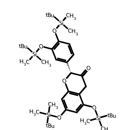 CC(C)(C)[Si](C)(C)Oc1cc2c(c(O[Si](C)(C)C(C)(C)C)c1)CC(=O)[C@@H](c1ccc(O[Si](C)(C)C(C)(C)C)c(O[Si](C)(C)C(C)(C)C)c1)O2